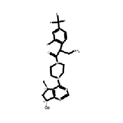 C[C@@H]1C[C@@H](O)c2ncnc(N3CCN(C(=O)C(CN)c4ccc(C(F)(F)F)cc4F)CC3)c21